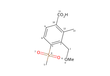 COCc1c(S(C)(=O)=O)ccc(C(=O)O)c1C